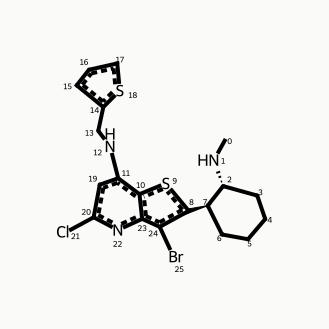 CN[C@@H]1CCCC[C@H]1c1sc2c(NCc3cccs3)cc(Cl)nc2c1Br